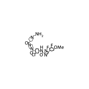 COc1ccc(-c2cnc(C(=O)Nc3ccc(C(=O)N4CCN(C(=O)C5CCN(CCN)CC5)CC4)c(Cl)c3)n2C)c(F)c1F